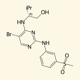 CC(C)[C@H](CO)Nc1nc(Nc2cccc(S(C)(=O)=O)c2)ncc1Br